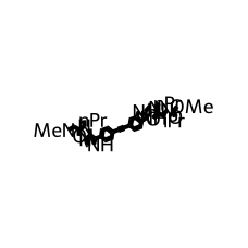 CCCN(Cc1nc[nH]c1-c1ccc(C#Cc2ccc3[nH]c(CN(CCC)C(=O)C(NC(=O)OC)C(C)C)nc3c2)cc1)C(=O)CNC